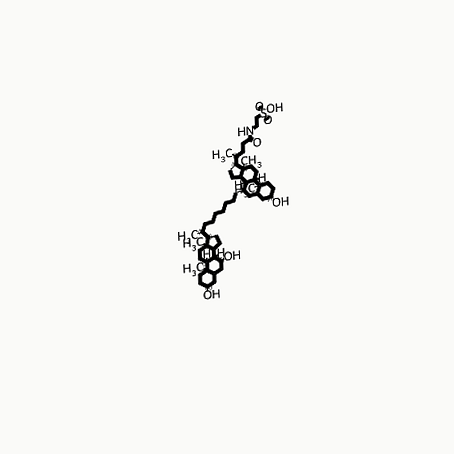 C[C@H](CCC(=O)NCCS(=O)(=O)O)[C@H]1CCC2[C@@H]3[C@@H](CCCCCCC[C@@H](C)[C@H]4CCC5[C@@H]6[C@@H](O)CC7C[C@H](O)CC[C@]7(C)[C@H]6CC[C@@]54C)CC4C[C@H](O)CC[C@]4(C)[C@H]3CC[C@@]21C